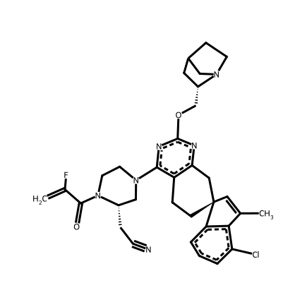 C=C(F)C(=O)N1CCN(c2nc(OC[C@@H]3CC4CCN3C4)nc3c2CC[C@]2(C=C(C)c4c(Cl)cccc42)C3)C[C@@H]1CC#N